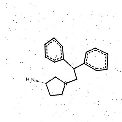 N[C@H]1CCN(CC(c2ccccc2)c2ccccc2)C1